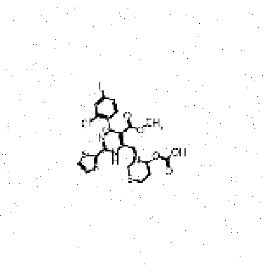 COC(=O)C1=C(CN2CSCCC2OC(=O)O)NC(c2nccs2)=N[C@H]1c1ccc(F)cc1Cl